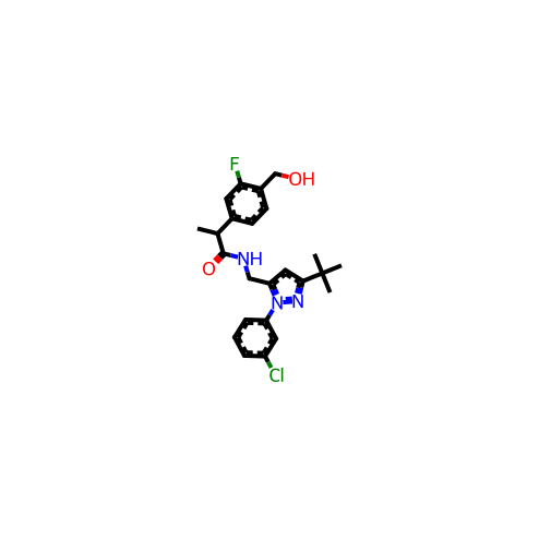 CC(C(=O)NCc1cc(C(C)(C)C)nn1-c1cccc(Cl)c1)c1ccc(CO)c(F)c1